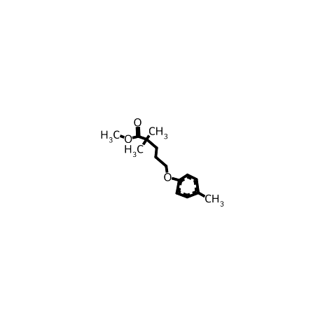 COC(=O)C(C)(C)CCCOc1ccc(C)cc1